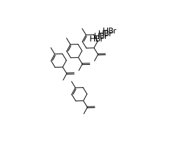 Br.Br.Br.Br.C=C(C)C1CC=C(C)CC1.C=C(C)C1CC=C(C)CC1.C=C(C)C1CC=C(C)CC1.C=C(C)C1CC=C(C)CC1